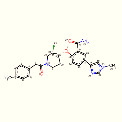 Cc1ccc(CC(=O)N2CC[C@@H](Oc3ccc(-c4cn(C)cn4)cc3C(N)=O)[C@@H](F)C2)cc1